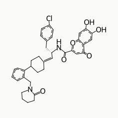 O=C(N[C@H](C=C1CCC(c2ccccc2CN2CCCCC2=O)CC1)Cc1ccc(Cl)cc1)c1cc(=O)c2cc(O)c(O)cc2o1